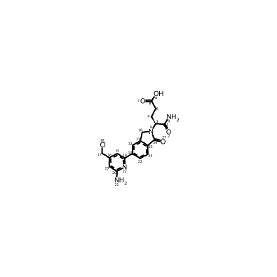 NC(=O)[C@H](CCC(=O)O)N1Cc2cc(-c3cc(CCl)cc(N)n3)ccc2C1=O